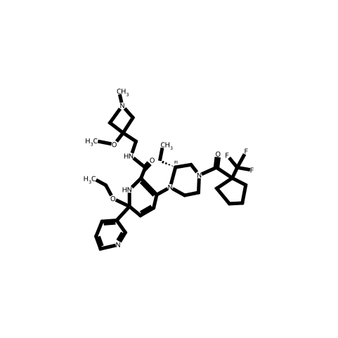 CCOC1(c2cccnc2)C=CC(N2CCN(C(=O)C3(C(F)(F)F)CCCC3)C[C@H]2CC)=C(C(=O)NCC2(OC)CN(C)C2)N1